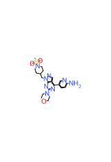 CS(=O)(=O)N1CCC(Cn2ncc3c(-c4ccc(N)nc4)nc(N4CCOCC4)nc32)CC1